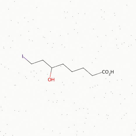 O=C(O)CCCCC(O)CCI